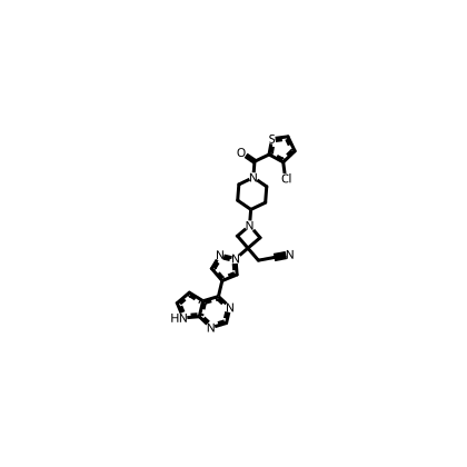 N#CCC1(n2cc(-c3ncnc4[nH]ccc34)cn2)CN(C2CCN(C(=O)c3sccc3Cl)CC2)C1